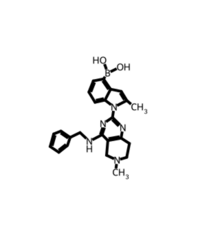 Cc1cc2c(B(O)O)cccc2n1-c1nc2c(c(NCc3ccccc3)n1)CN(C)CC2